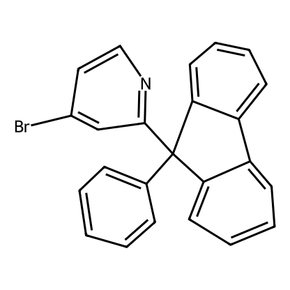 Brc1ccnc(C2(c3ccccc3)c3ccccc3-c3ccccc32)c1